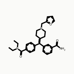 CCN(CC)C(=O)c1ccc(C(=C2CCN(Cc3ccco3)CC2)c2cccc(C(N)=O)c2)cc1